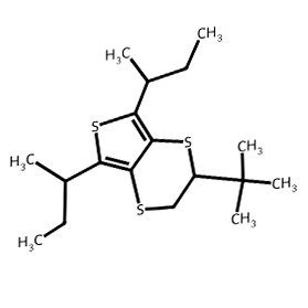 CCC(C)c1sc(C(C)CC)c2c1SCC(C(C)(C)C)S2